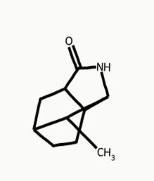 CC1C2CCC3C(C2)C(=O)NC13